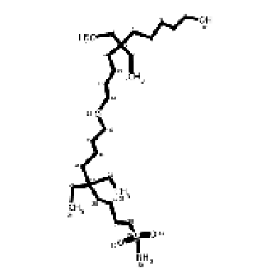 CCC(CC)(CCCCCO)CCCCOCCCCC(CC)(CC)CCCCS(N)(=O)=O